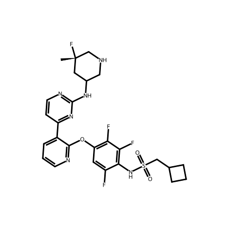 C[C@@]1(F)CNCC(Nc2nccc(-c3cccnc3Oc3cc(F)c(NS(=O)(=O)CC4CCC4)c(F)c3F)n2)C1